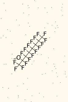 COC(F)(C(F)(F)F)C(F)(F)C(F)(F)C(F)(F)C(F)(F)C(F)(F)C(F)(F)F